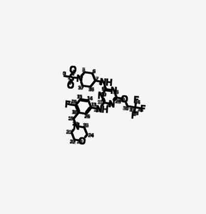 CS(=O)(=O)N1CCC(Nc2nc(Nc3ccc(F)c(CN4CCOCC4)c3)nc(OCC(F)(F)F)n2)CC1